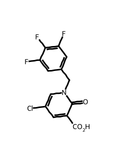 O=C(O)c1cc(Cl)cn(Cc2cc(F)c(F)c(F)c2)c1=O